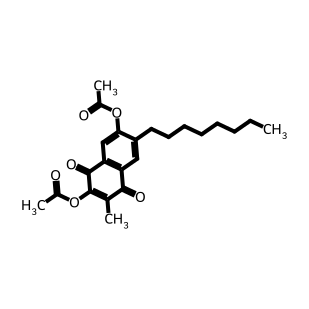 CCCCCCCCc1cc2c(cc1OC(C)=O)C(=O)C(OC(C)=O)=C(C)C2=O